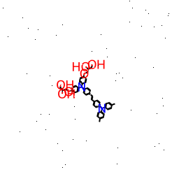 Cc1ccc(N(c2ccc(C)cc2)c2ccc(C=Cc3ccc(N(c4ccc(OC/C(O)=C\O)cc4)c4ccc(OCC(O)CO)cc4)cc3)cc2)cc1